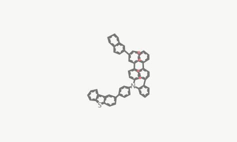 c1ccc(-c2ccc(-c3ccccc3N(c3ccc(-c4cccc(-c5ccc6ccccc6c5)c4)cc3)c3ccc(-c4ccc5sc6ccccc6c5c4)cc3)cc2)cc1